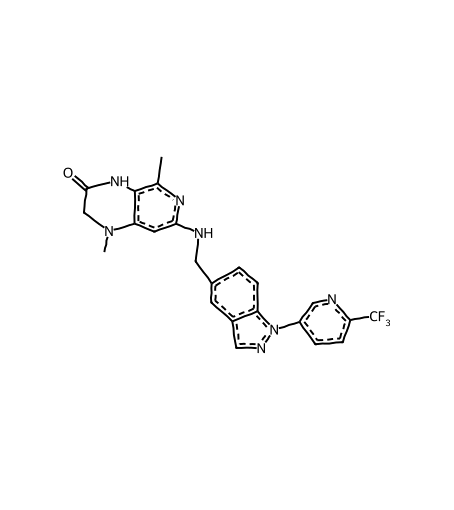 Cc1nc(NCc2ccc3c(cnn3-c3ccc(C(F)(F)F)nc3)c2)cc2c1NC(=O)CN2C